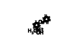 CCC(C)(O)c1cccc(OCc2ccccc2)c1